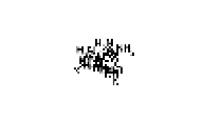 Cc1nc(C#CC(C)(C)C)nc(C)c1C(=O)N[C@@H](CCN)C(=O)N(C)[C@@H]1C(=O)N[C@@H](C)C(=O)N[C@H](C(=O)NCC#N)Cc2ccc(OCCN)c(c2)-c2cc1ccc2OCCN